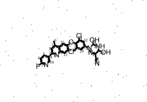 Cc1cc(-c2ccc(F)nc2)nc2ccc(Oc3c(Cl)cc(N4N=C(C#N)C(O)NC4O)cc3Cl)cc12